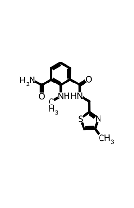 CNc1c(C(N)=O)cccc1C(=O)NCc1nc(C)cs1